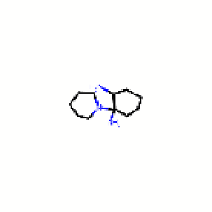 NC1CCCCC1(N)N1CCCCC1